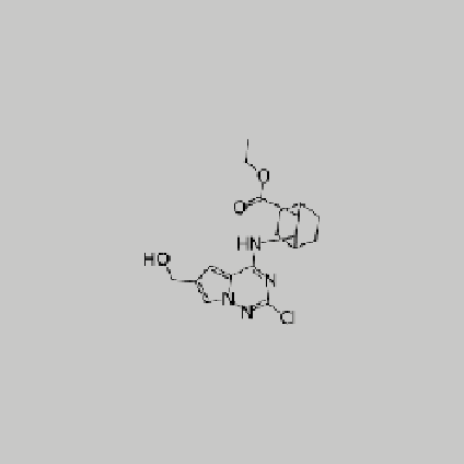 CCOC(=O)C1C2CCC(CC2)C1Nc1nc(Cl)nn2cc(CO)cc12